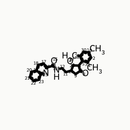 Cc1cc(C)c(C2C(=O)CC(CCNC(=O)c3ccc4ccccc4n3)C2=O)c(C)c1